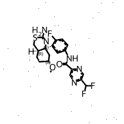 CO[C@@H]1CC[C@H]2CSC(N)=N[C@@]2(c2cc(NC(=O)c3cnc(C(F)F)cn3)ccc2F)C1